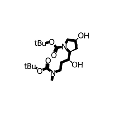 CN(CC[C@@H](O)[C@@H]1C[C@@H](O)CN1C(=O)OC(C)(C)C)C(=O)OC(C)(C)C